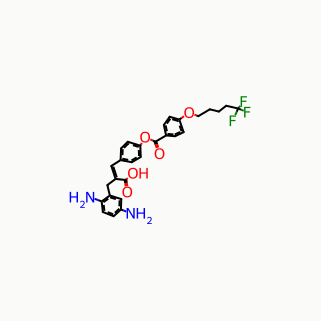 Nc1ccc(N)c(CC(=Cc2ccc(OC(=O)c3ccc(OCCCCC(F)(F)F)cc3)cc2)C(=O)O)c1